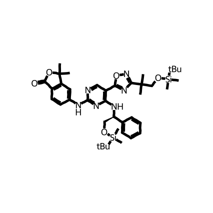 CC(C)(CO[Si](C)(C)C(C)(C)C)c1noc(-c2cnc(Nc3ccc4c(c3)C(C)(C)OC4=O)nc2N[C@H](CO[Si](C)(C)C(C)(C)C)c2ccccc2)n1